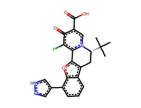 CC(C)(C)[C@@H]1Cc2c(oc3c(-c4cn[nH]c4)cccc23)-c2c(F)c(=O)c(C(=O)O)cn21